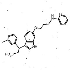 Cc1cccc(C(CC(=O)O)c2c[nH]c3cc(OCCCNc4ccccn4)ccc23)c1